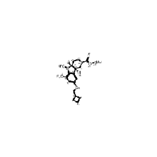 CN1c2c(cc(OCC3CCC3)cc2C(F)(F)F)[C@H]2CN(C(=O)OC(C)(C)C)CC[C@H]21